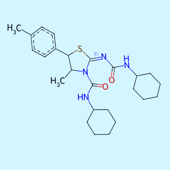 Cc1ccc(C2S/C(=N/C(=O)NC3CCCCC3)N(C(=O)NC3CCCCC3)C2C)cc1